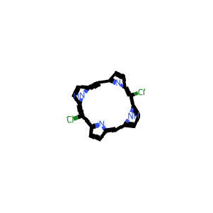 Clc1c2nc(cc3ccc([nH]3)c(Cl)c3nc(cc4ccc1[nH]4)C=C3)C=C2